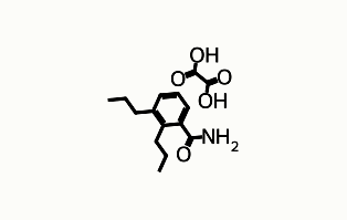 CCCc1cccc(C(N)=O)c1CCC.O=C(O)C(=O)O